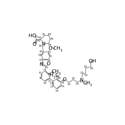 COc1cc2oc(-c3cccc(-c4cccc(OCCCN(C)CCCCO)c4C)c3C)nc2cc1CN1CCCCC1C(=O)O